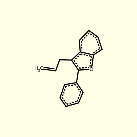 C=CCc1c(-c2ccccc2)oc2ccccc12